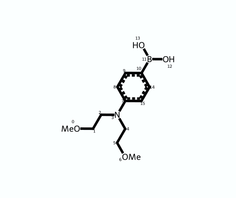 COCCN(CCOC)c1ccc(B(O)O)cc1